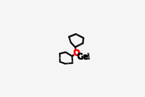 C1CCC(OC2CCCCC2)CC1.[Ge]